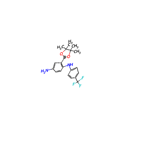 CC1(C)OB(c2cc(N)ccc2Nc2ccc(C(F)(F)F)cc2)OC1(C)C